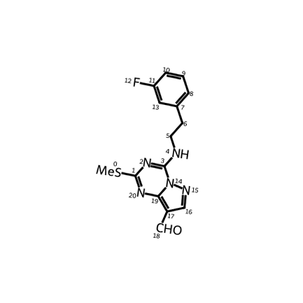 CSc1nc(NCCc2cccc(F)c2)n2ncc(C=O)c2n1